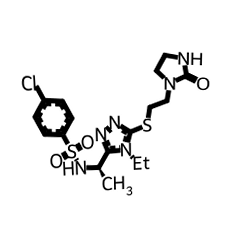 CCn1c(SCCN2CCNC2=O)nnc1[C@@H](C)NS(=O)(=O)c1ccc(Cl)cc1